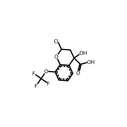 O=C(O)C1(O)CC(Cl)Oc2c(OC(F)(F)F)cccc21